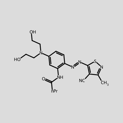 CCCC(=O)Nc1cc(N(CCO)CCO)ccc1N=Nc1snc(C)c1C#N